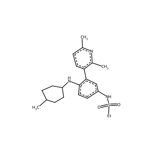 CCS(=O)(=O)Nc1ccc(NC2CCC(C)CC2)c(-c2ccc(C)nc2C)c1